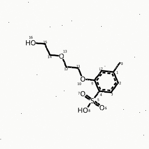 Cc1ccc(S(=O)(=O)O)c(OCCOCCO)c1